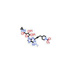 COC(=O)N1CCC(CC#Cc2nc(N)c3ncn(C4OC(C(=O)NC5CC5)C(O)C4O)c3n2)CC1